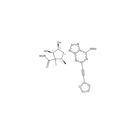 CNC(=O)C1(C)[C@H](C)[C@@H](n2cnc3c(NC)nc(C#Cc4ccco4)nc32)[C@H](O)[C@@H]1O